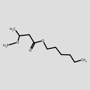 CCCCCCOC(=O)CC(C)OP